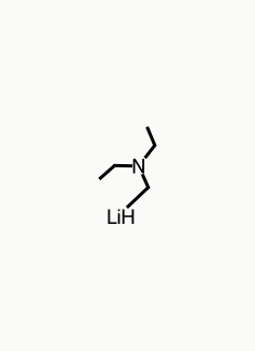 CCN(CC)CC.[LiH]